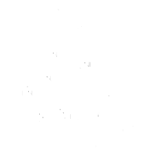 CC(C)(C)CC(Nc1ccccn1)c1nn[nH]n1